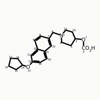 O=C(O)OC1CCN(Cc2ccc3cc(OC4CCCC4)ccc3c2)CC1